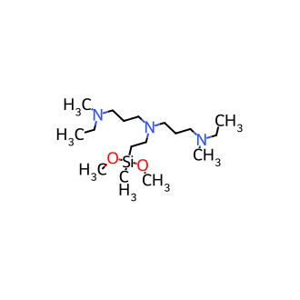 CCN(C)CCCN(CCCN(C)CC)CC[Si](C)(OC)OC